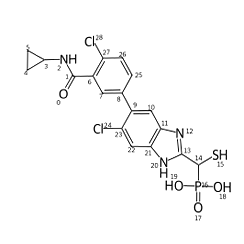 O=C(NC1CC1)c1cc(-c2cc3nc(C(S)P(=O)(O)O)[nH]c3cc2Cl)ccc1Cl